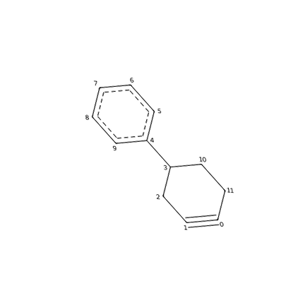 C1#CCC(c2ccccc2)CC1